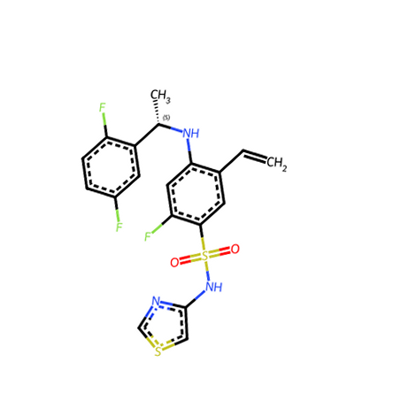 C=Cc1cc(S(=O)(=O)Nc2cscn2)c(F)cc1N[C@@H](C)c1cc(F)ccc1F